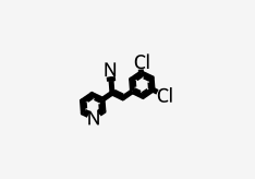 N#CC(=Cc1cc(Cl)cc(Cl)c1)c1cccnc1